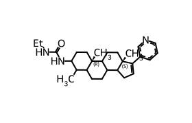 CCNC(=O)NC1CC[C@@]2(C)C(CCC3C2CC[C@]2(C)C(c4cccnc4)=CCC32)C1C